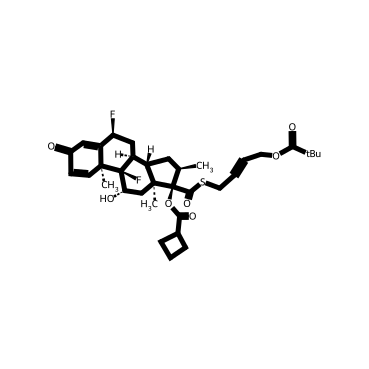 C[C@@H]1C[C@H]2[C@@H]3C[C@H](F)C4=CC(=O)C=C[C@]4(C)[C@@]3(F)[C@@H](O)C[C@]2(C)[C@@]1(OC(=O)C1CCC1)C(=O)SCC#CCOC(=O)C(C)(C)C